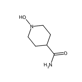 NC(=O)C1CCN(O)CC1